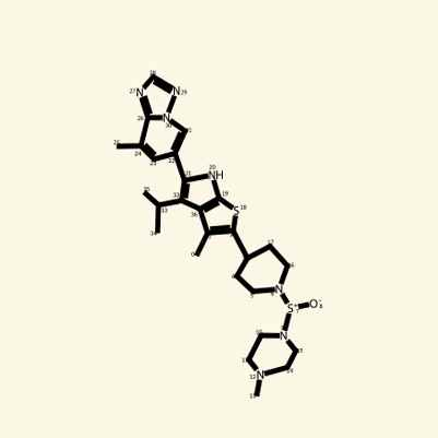 Cc1c(C2CCN([S+]([O-])N3CCN(C)CC3)CC2)sc2[nH]c(-c3cc(C)c4ncnn4c3)c(C(C)C)c12